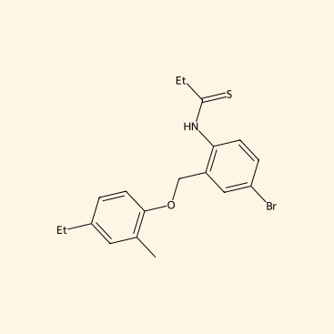 CCC(=S)Nc1ccc(Br)cc1COc1ccc(CC)cc1C